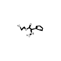 C[Te]C(C(=O)OCCO)c1ccccc1